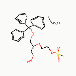 CS(=O)(=O)O.CS(=O)(=O)OCCO[C@@H](CCO)COC(c1ccccc1)(c1ccccc1)c1ccccc1